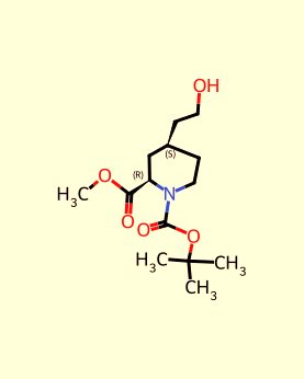 COC(=O)[C@H]1C[C@@H](CCO)CCN1C(=O)OC(C)(C)C